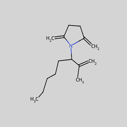 C=C(C)C(CCCCC)N1C(=C)CCC1=C